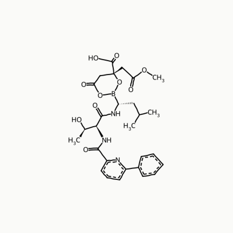 COC(=O)C[C@]1(C(=O)O)CC(=O)OB([C@H](CC(C)C)NC(=O)[C@@H](NC(=O)c2cccc(-c3ccccc3)n2)[C@@H](C)O)O1